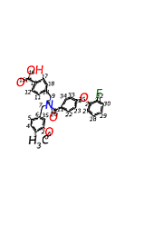 COc1cccc(CN(Cc2ccc(C(=O)O)cc2)C(=O)c2ccc(Oc3ccccc3F)cc2)c1